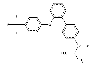 CC(C)[S+]([O-])c1ccc(-c2ccccc2Oc2ccc(C(F)(F)F)cc2)cc1